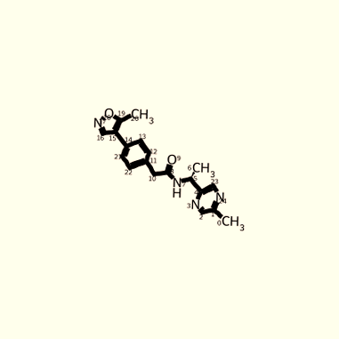 Cc1cnc([C@@H](C)NC(=O)Cc2ccc(-c3cnoc3C)cc2)cn1